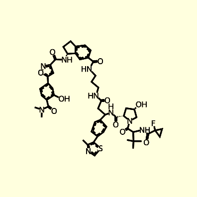 Cc1ncsc1-c1ccc(C(CC(=O)NCCCNC(=O)c2ccc3c(c2)[C@H](NC(=O)c2cc(-c4ccc(C(=O)N(C)C)c(O)c4)on2)CC3)NC(=O)[C@@H]2C[C@@H](O)CN2C(=O)C(NC(=O)C2(F)CC2)C(C)(C)C)cc1